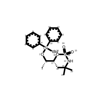 C[C@H](O[Si](c1ccccc1)(c1ccccc1)C(C)(C)C)[C@H]1CC(C)(C)NS(=O)(=O)O1